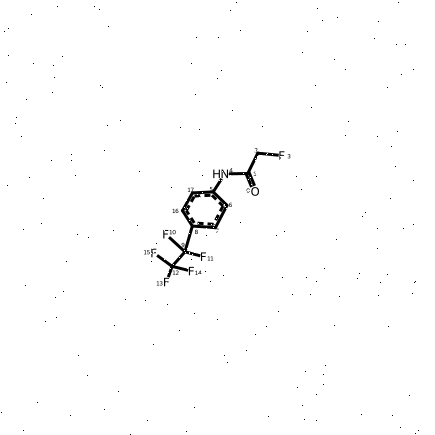 O=C(CF)Nc1ccc(C(F)(F)C(F)(F)F)cc1